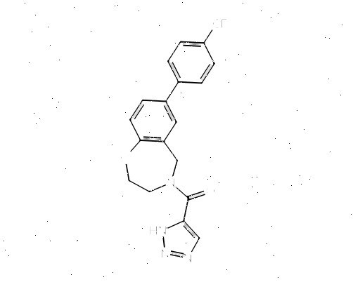 O=C(c1cnn[nH]1)N1CCOc2ccc(-c3ccc(C(F)(F)F)cc3)cc2C1